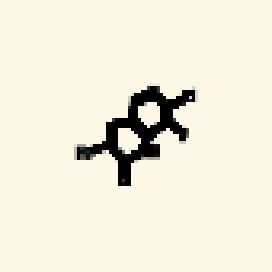 CCc1cc2cnc(Cl)c(F)c2[nH]c1=O